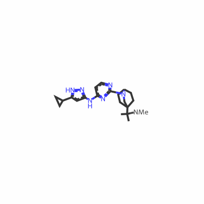 CNC(C)(C)C12CCC(CC1)N(c1nccc(Nc3cc(C4CC4)[nH]n3)n1)C2